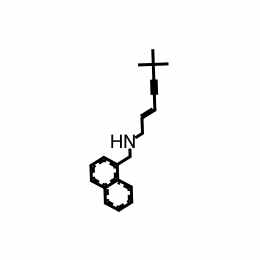 CC(C)(C)C#CC=CCNCc1cccc2ccccc12